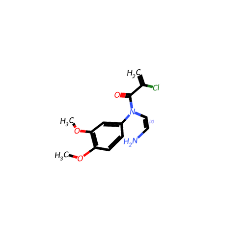 C=C(Cl)C(=O)N(/C=C\N)c1ccc(OC)c(OC)c1